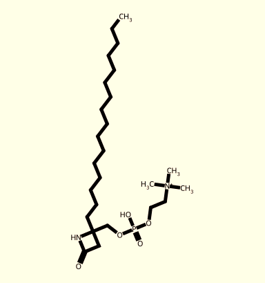 CCCCCCCCCCCCCCCCC1(COP(=O)(O)OCC[N+](C)(C)C)CC(=O)N1